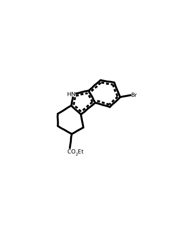 CCOC(=O)C1CCc2[nH]c3ccc(Br)cc3c2C1